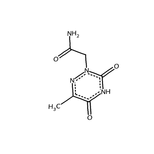 Cc1nn(CC(N)=O)c(=O)[nH]c1=O